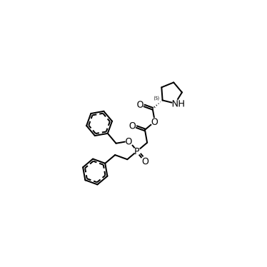 O=C(CP(=O)(CCc1ccccc1)OCc1ccccc1)OC(=O)[C@@H]1CCCN1